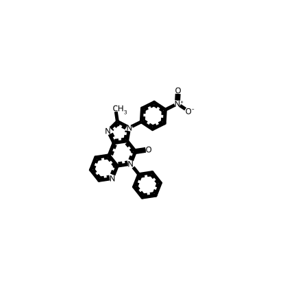 Cc1nc2c3cccnc3n(-c3ccccc3)c(=O)c2n1-c1ccc([N+](=O)[O-])cc1